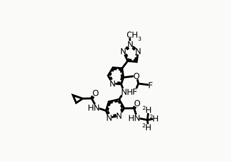 [2H]C([2H])([2H])NC(=O)c1nnc(NC(=O)C2CC2)cc1Nc1nccc(-c2cnn(C)n2)c1OC(F)F